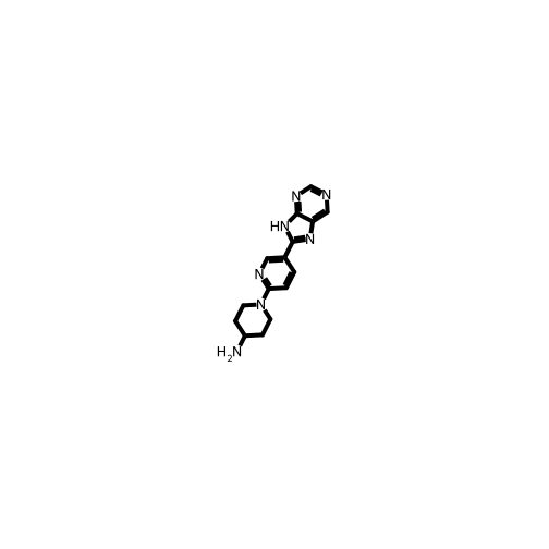 NC1CCN(c2ccc(-c3nc4cncnc4[nH]3)cn2)CC1